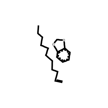 C=CCCCCCCCCC.c1ccc2c(c1)OCO2